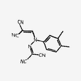 Cc1ccc(N(C=C(C#N)C#N)N=C(C#N)C#N)cc1C